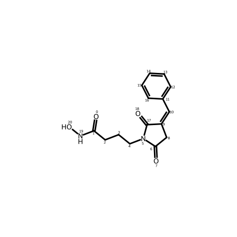 O=C(CCCN1C(=O)CC(=Cc2ccccc2)C1=O)NO